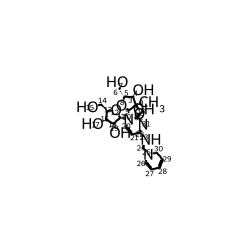 C[C@@]1(O)[C@H](O)[C@@H](CO)O[C@H]1[N+]1([C@@H]2O[C@H](CO)[C@@H](O)[C@H]2O)C=CC(NCN2C=CC=CC2)=NC1=O